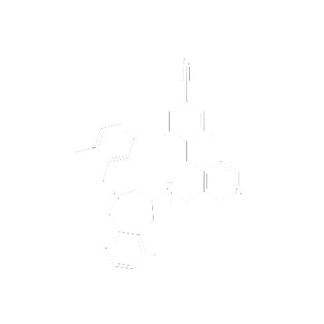 Cc1ccccc1CN1Cc2ccccc2CC(NCc2cnccc2Cc2ccc(C#N)cc2)C1